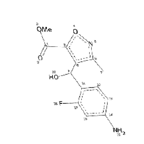 COC(=O)c1onc(C)c1C(O)c1ccc(N)cc1F